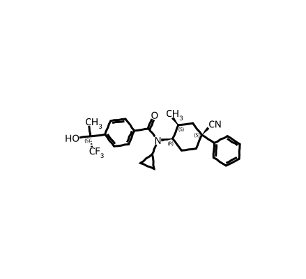 C[C@H]1C[C@](C#N)(c2ccccc2)CC[C@H]1N(C(=O)c1ccc([C@](C)(O)C(F)(F)F)cc1)C1CC1